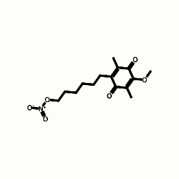 COC1=C(C)C(=O)C(CCCCCCO[N+](=O)[O-])=C(C)C1=O